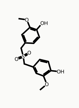 COc1cc(CS(=O)(=O)Cc2ccc(O)c(OC)c2)ccc1O